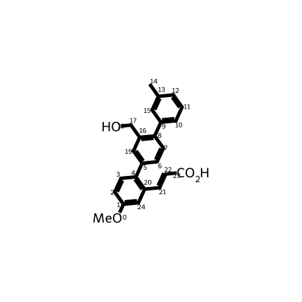 COc1ccc(-c2ccc(-c3cccc(C)c3)c(CO)c2)c(/C=C/C(=O)O)c1